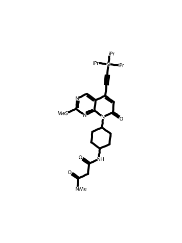 CNC(=O)CC(=O)NC1CCC(n2c(=O)cc(C#C[Si](C(C)C)(C(C)C)C(C)C)c3cnc(SC)nc32)CC1